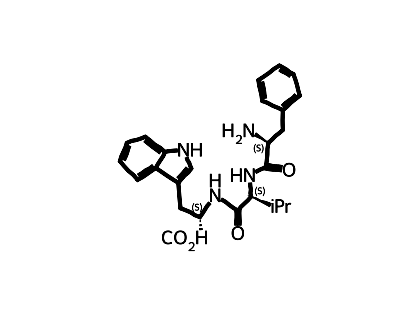 CC(C)[C@H](NC(=O)[C@@H](N)Cc1ccccc1)C(=O)N[C@@H](Cc1c[nH]c2ccccc12)C(=O)O